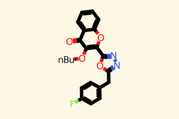 CCCCOc1c(-c2nnc(Cc3ccc(F)cc3)o2)oc2ccccc2c1=O